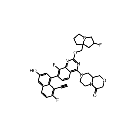 C#Cc1c(F)ccc2cc(O)cc(-c3ccc4c(N5CCN6C(=O)COCC6C5)nc(OCC56CCCN5CC(F)C6)nc4c3F)c12